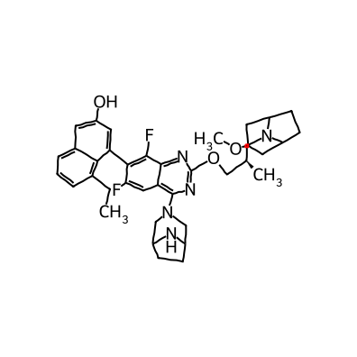 CCc1cccc2cc(O)cc(-c3c(F)cc4c(N5CC6CCC(C5)N6)nc(OC[C@H](C)CN5C6CCC5CC(OC)C6)nc4c3F)c12